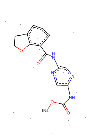 CC(C)(C)OC(=O)Nc1cnc(NC(=O)c2cccc3c2OCC3)cn1